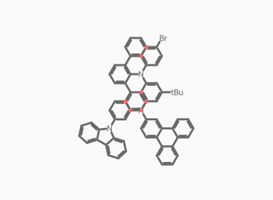 CC(C)(C)c1cc(N(c2cccc(-n3c4ccccc4c4ccccc43)c2)c2ccc3c4ccccc4c4ccccc4c3c2)cc(N(c2ccc(Br)cc2)c2c(-c3ccccc3)cccc2-c2ccccc2)c1